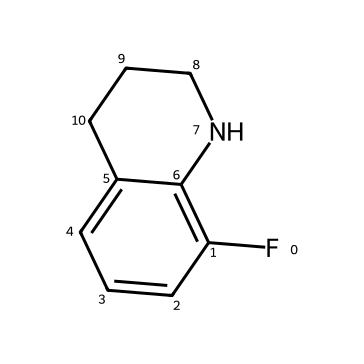 Fc1cccc2c1NCCC2